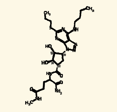 CCCCNc1nc(SCCC)nc2c1nnn2[C@@H]1C[C@H](C(=O)NC(CCC(=O)NC)C(N)=O)[C@@H](O)[C@H]1O